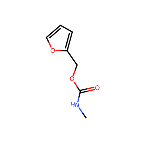 CNC(=O)OCc1ccco1